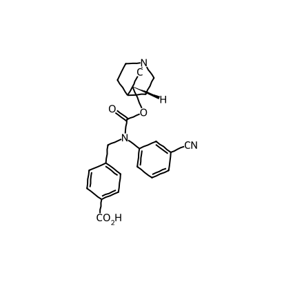 N#Cc1cccc(N(Cc2ccc(C(=O)O)cc2)C(=O)O[C@H]2CN3CCC2CC3)c1